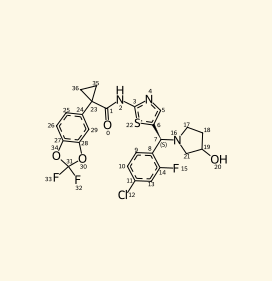 O=C(Nc1ncc([C@H](c2ccc(Cl)cc2F)N2CCC(O)C2)s1)C1(c2ccc3c(c2)OC(F)(F)O3)CC1